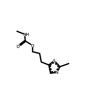 CNC(=O)OCCCc1cnc(C)s1